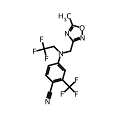 Cc1nc(CN(CC(F)(F)F)c2ccc(C#N)c(C(F)(F)F)c2)no1